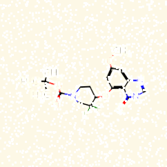 COc1cc(OC2CCN(C(=O)OC(C)(C)C)CC2(F)F)c2c(=O)[nH]cnc2c1